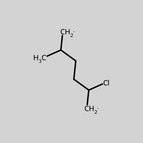 [CH2]C(C)CCC([CH2])Cl